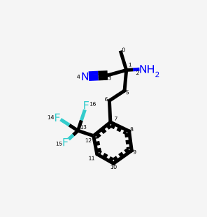 CC(N)(C#N)CCc1ccccc1C(F)(F)F